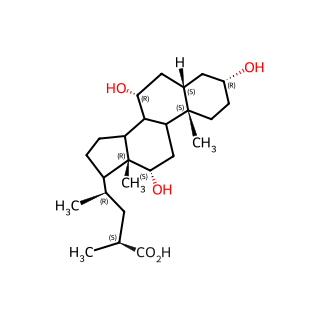 C[C@H](C[C@H](C)C(=O)O)C1CCC2C3C(C[C@H](O)[C@@]21C)[C@@]1(C)CC[C@@H](O)C[C@H]1C[C@H]3O